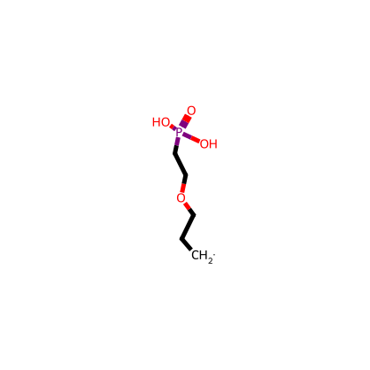 [CH2]CCOCCP(=O)(O)O